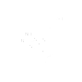 COC(=O)c1ccc2nc(-c3ncc[nH]3)nc(NCCOCCO)c2c1